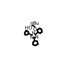 CCCCC(O)COc1ccccc1-c1nc(-c2ccccc2)nc(-c2ccccc2)n1